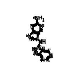 Nc1ncc2c(nnn2Nn2nnc3ncncc32)n1